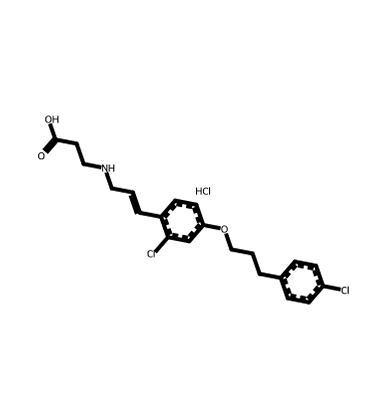 Cl.O=C(O)CCNCC=Cc1ccc(OCCCc2ccc(Cl)cc2)cc1Cl